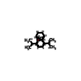 CC(C)c1ccc(C(C)C)c2c1C1CCC2C(=O)O1